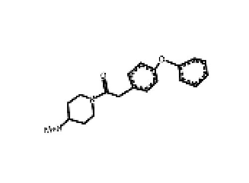 CNC1CCN(C(=O)Cc2ccc(Oc3ccccc3)cc2)CC1